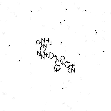 N#Cc1cc(N2C(=O)N(CC3CCN(c4ncnc5cc(C(N)=O)ncc45)CC3)Cc3cnccc32)ccc1F